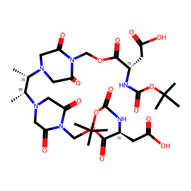 C[C@H]([C@H](C)N1CC(=O)N(COC(=O)[C@H](CC(=O)O)NC(=O)OC(C)(C)C)C(=O)C1)N1CC(=O)N(COC(=O)[C@H](CC(=O)O)NC(=O)OC(C)(C)C)C(=O)C1